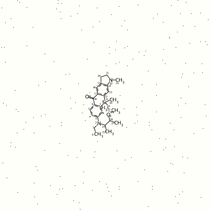 CCN(c1ccc2c(c1)[Si](C)(C)c1cc3c(cc1C2=O)CCN3C)C(C)C(C)OC